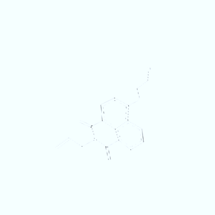 C=CCN1C(=O)c2cccc3c(SCCCCCCCCCCCC)ccc(c23)C1=O